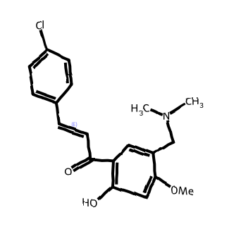 COc1cc(O)c(C(=O)/C=C/c2ccc(Cl)cc2)cc1CN(C)C